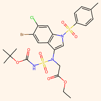 CCOC(=O)CN(c1cn(S(=O)(=O)c2ccc(C)cc2)c2cc(Cl)c(Br)cc12)S(=O)(=O)NC(=O)OC(C)(C)C